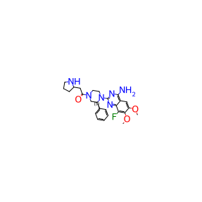 COc1cc2c(N)nc(N3CCN(C(=O)CC4CCCN4)C[C@@H]3c3ccccc3)nc2c(F)c1OC